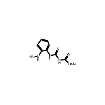 CCCCNc1ccccc1NC(=S)NC(=O)OC